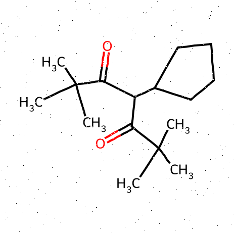 CC(C)(C)C(=O)C(C(=O)C(C)(C)C)C1CCCC1